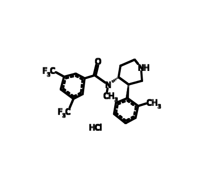 Cc1ccccc1[C@@H]1CNCC[C@H]1N(C)C(=O)c1cc(C(F)(F)F)cc(C(F)(F)F)c1.Cl